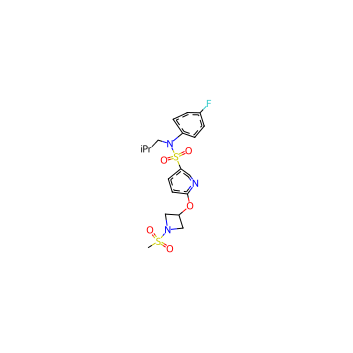 CC(C)CN(c1ccc(F)cc1)S(=O)(=O)c1ccc(OC2CN(S(C)(=O)=O)C2)nc1